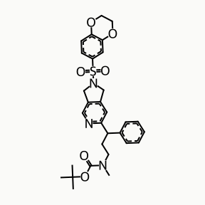 CN(CCC(c1ccccc1)c1cc2c(cn1)CN(S(=O)(=O)c1ccc3c(c1)OCCO3)C2)C(=O)OC(C)(C)C